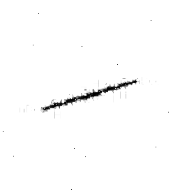 CCCCCCCCCCCCCCCC(=O)NCCOCCNC(=O)CCOCCNC(=O)CC[C@H](N)C(=O)NCCOCCC(=O)NCCOCCNC(=O)CCCCCCCCCCCCCCC